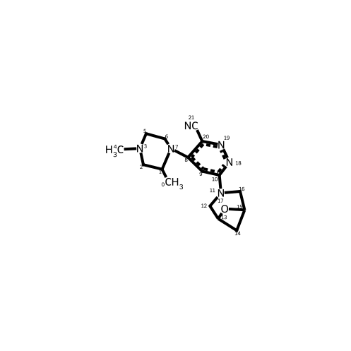 CC1CN(C)CCN1c1cc(N2CC3CC(C2)O3)nnc1C#N